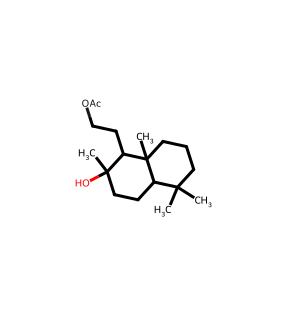 CC(=O)OCCC1C(C)(O)CCC2C(C)(C)CCCC21C